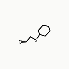 O=[C]CSC1CCCCC1